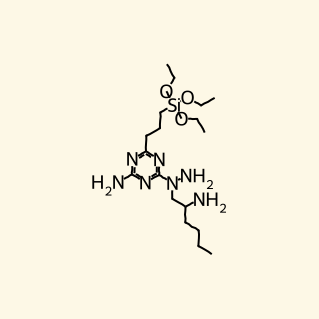 CCCCC(N)CN(N)c1nc(N)nc(CCC[Si](OCC)(OCC)OCC)n1